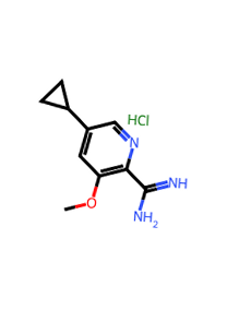 COc1cc(C2CC2)cnc1C(=N)N.Cl